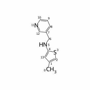 Cc1csc(NCc2cccnc2)c1